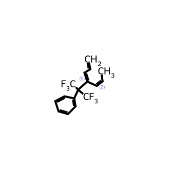 C=C/C=C(\C=C/C)C(c1ccccc1)(C(F)(F)F)C(F)(F)F